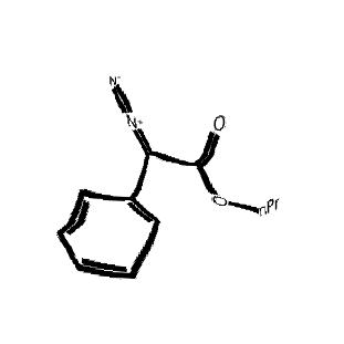 CCCOC(=O)C(=[N+]=[N-])c1ccccc1